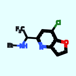 CCNC(c1cc(Cl)c2occc2n1)C(F)(F)F